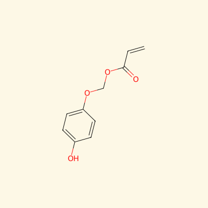 C=CC(=O)OCOc1ccc(O)cc1